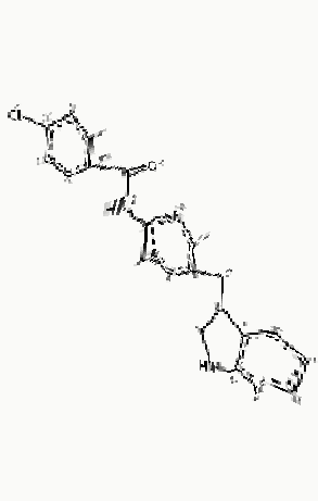 O=C(Nc1ccc(CC2CNc3ncccc32)cn1)c1ccc(Cl)cc1